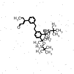 CCC(=CC=O)c1cccc(CCc2ccc(C(C)(C)O[SiH2]C(C)(C)C)c(C(C)(C)O[SiH2]C(C)(C)C)c2)c1